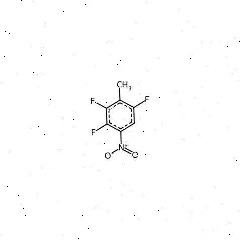 Cc1c(F)cc([N+](=O)[O-])c(F)c1F